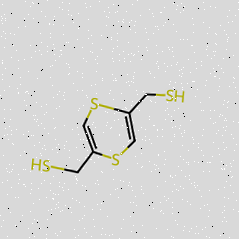 SCC1=CSC(CS)=CS1